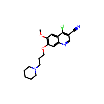 COc1cc2c(Cl)c(C#N)cnc2cc1OCCCN1CCCCC1